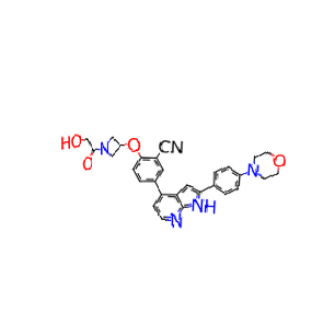 N#Cc1cc(-c2ccnc3[nH]c(-c4ccc(N5CCOCC5)cc4)cc23)ccc1OC1CN(C(=O)CO)C1